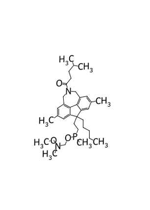 CCCCCC1(CCP(C)OCN(C)OC)c2cc(C)cc3c2-c2c(cc(C)cc21)CN(C(=O)CCC(C)C)C3